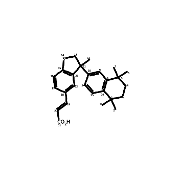 CC1(C)CCC(C)(C)c2cc(C3(C)CSc4ccc(C=CC(=O)O)cc43)ccc21